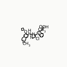 CN1CCc2cc(OC3CCC3)c(Nc3ncc(Cl)c(N4CC(C)(CC(=O)O)c5ccccc54)n3)cc2C1